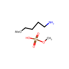 COCCCCN.COS(=O)(=O)O